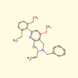 C=CCN(Cc1ccccc1)Cc1c(OC)cc(-c2c(CC)cccc2CC)nc1C